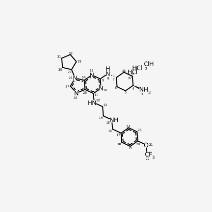 Cl.Cl.Cl.N[C@H]1CC[C@H](Nc2nc(NCCNCc3ccc(OC(F)(F)F)cc3)c3ncn(C4CCCC4)c3n2)CC1